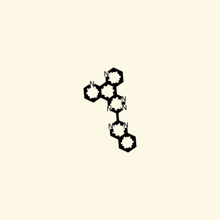 c1ccc2nc(-c3nnc4c5cccnc5c5ncccc5c4n3)ncc2c1